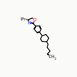 C=CCCCC1CCC(c2ccc(C3=N[C@@H](C(C)C)CO3)cc2)CC1